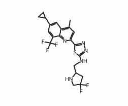 Cc1cc(-c2nnc(NCC3CC(F)(F)CN3)s2)nc2c(C(F)(F)F)cc(C3CC3)cc12